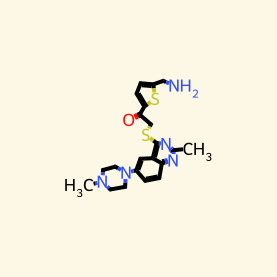 Cc1nc(SCC(=O)c2ccc(CN)s2)c2cc(N3CCN(C)CC3)ccc2n1